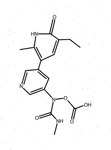 CCc1cc(-c2cncc(N(OC(=O)O)C(=O)NC)c2)c(C)[nH]c1=O